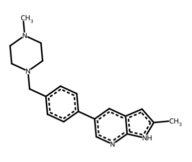 Cc1cc2cc(-c3ccc(CN4CCN(C)CC4)cc3)cnc2[nH]1